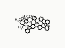 CC1(C)CCC(C)(C)c2cc3c(cc21)N1c2c(cccc2C3(C)C)B2c3c(cc4c(oc5ccccc54)c31)-c1ccc(-c3ccccc3)c3c1N2c1cccc2c1C3(C)c1ccccc1-2